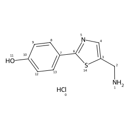 Cl.NCc1cnc(-c2ccc(O)cc2)s1